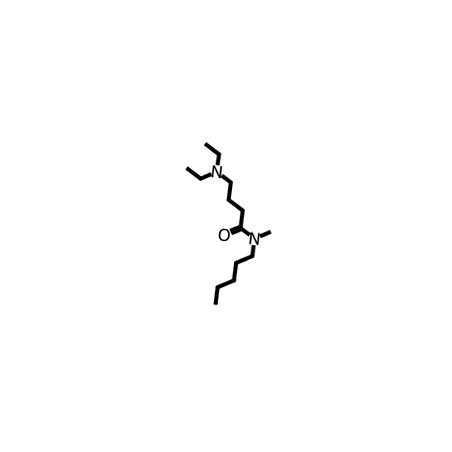 CCCCCN(C)C(=O)CCCN(CC)CC